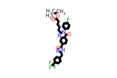 CC(C)(C)OC(=O)CCCCc1nc2cc(-c3nc(Cc4ccc(C(F)(F)F)cc4)no3)ccc2c(=O)n1-c1ccc(F)cc1